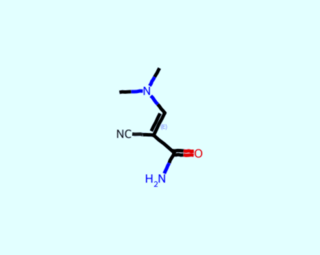 CN(C)/C=C(\C#N)C(N)=O